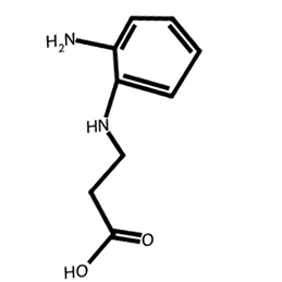 Nc1ccccc1NCCC(=O)O